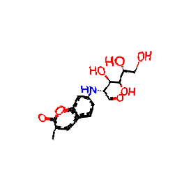 Cc1cc2ccc(N[C@@H](C=O)[C@@H](O)[C@H](O)[C@H](O)CO)cc2oc1=O